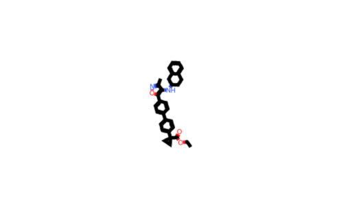 CCOC(=O)C1(c2ccc(-c3ccc(-c4onc(C)c4NC4CCc5ccccc5C4)cc3)cc2)CC1